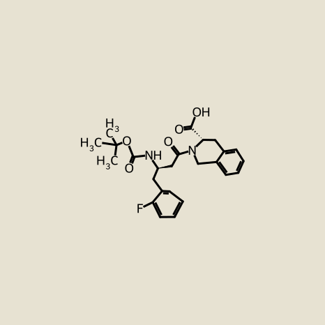 CC(C)(C)OC(=O)N[C@@H](CC(=O)N1Cc2ccccc2C[C@H]1C(=O)O)Cc1ccccc1F